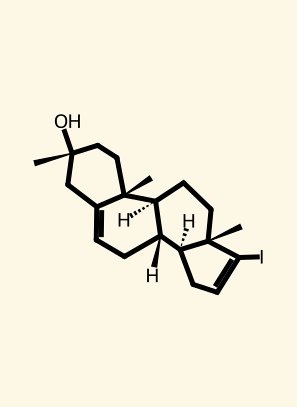 C[C@@]1(O)CC[C@@]2(C)C(=CC[C@@H]3[C@@H]2CC[C@]2(C)C(I)=CC[C@@H]32)C1